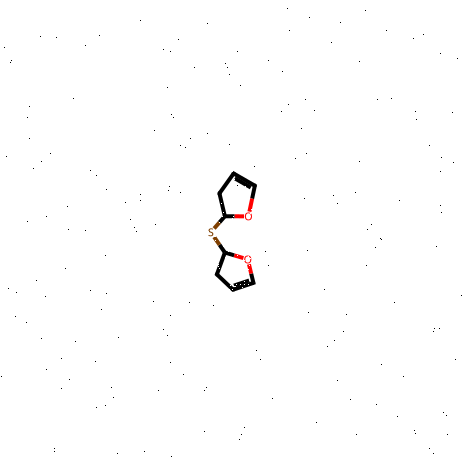 C1=COC(SC2CC=CO2)C1